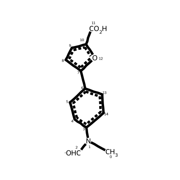 CN([C]=O)c1ccc(-c2ccc(C(=O)O)o2)cc1